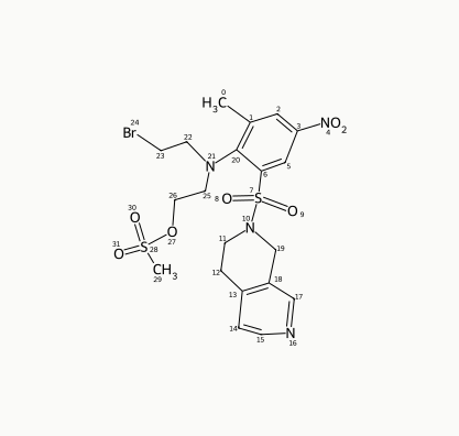 Cc1cc([N+](=O)[O-])cc(S(=O)(=O)N2CCc3ccncc3C2)c1N(CCBr)CCOS(C)(=O)=O